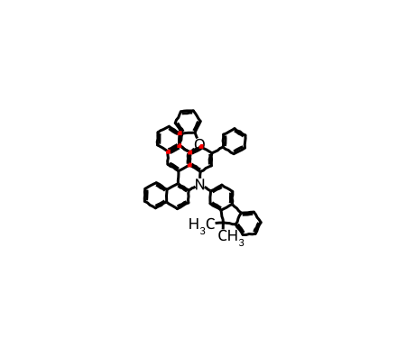 CC1(C)c2ccccc2-c2ccc(N(c3cc(-c4ccccc4)cc(-c4ccccc4)c3)c3ccc4ccccc4c3-c3ccc4c(c3)oc3ccccc34)cc21